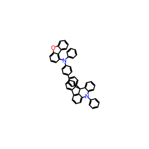 c1ccc(N2c3ccccc3C3(c4ccccc4)c4cc(-c5ccc(N(c6ccccc6)c6cccc7oc8ccccc8c67)cc5)ccc4-c4cccc2c43)cc1